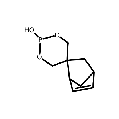 OP1OCC2(CO1)CC1C=CC2C1